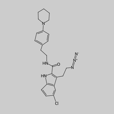 [N-]=[N+]=NCCc1c(C(=O)NCCc2ccc(N3CCCCC3)cc2)[nH]c2ccc(Cl)cc12